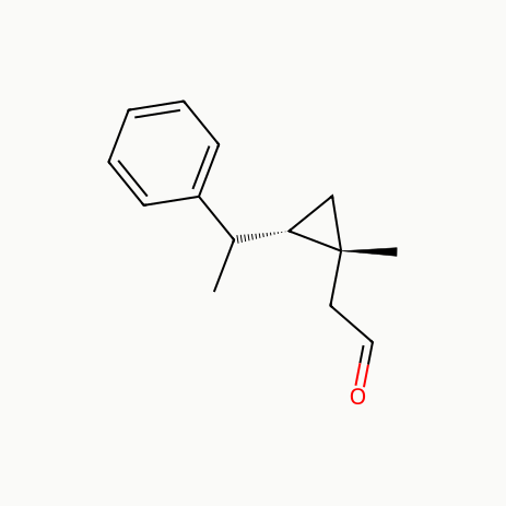 CC(c1ccccc1)[C@@H]1C[C@]1(C)CC=O